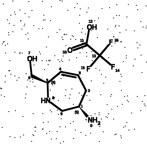 N[C@H]1CC=C[C@H](CO)NC1.O=C(O)C(F)(F)F